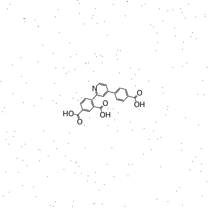 O=C(O)c1ccc(-c2ccnc(-c3ccc(C(=O)O)cc3C(=O)O)c2)cc1